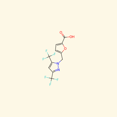 O=C(O)c1ccc(Cn2nc(C(F)(F)F)cc2C(F)(F)F)o1